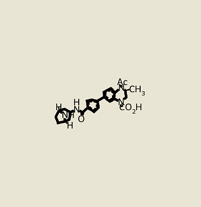 CC(=O)N1c2ccc(-c3ccc(C(=O)NC4C[C@H]5CC[C@@H](C4)N5)cc3)cc2N(C(=O)O)C[C@@H]1C